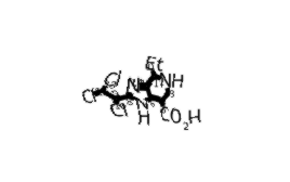 CCC1NCC(C(=O)O)=C2NC(C(Cl)C(Cl)Cl)N=C21